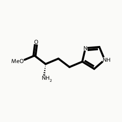 COC(=O)[C@@H](N)CCc1c[nH]cn1